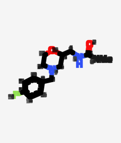 CNC(=O)NCC1CN(Cc2ccc(F)cc2)CCO1